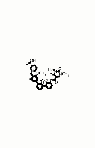 COc1cc(-c2cccc(-c3cccc(NC(=O)c4cn(C)c(=O)n(C)c4=O)c3C)c2Cl)cc(F)c1CN1CCC[C@@H](C(=O)O)C1